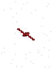 Cc1cc(-c2ccc3c(c2)C(C)(C)c2cc(-c4ccc5c(c4)C(C)(C)c4ccccc4-5)ccc2-3)cc(C)c1N(c1cccc2ccccc12)c1c2ccccc2c(N(c2c(C)cc(-c3ccc4c(c3)C(C)(C)c3cc(-c5ccc6c(c5)C(C)(C)c5ccccc5-6)ccc3-4)cc2C)c2cccc3ccccc23)c2ccccc12